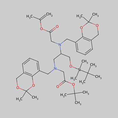 C=C(C)OC(=O)CN(Cc1cccc2c1OC(C)(C)OC2)C(CO[Si](C)(C)C(C)(C)C)CN(CC(=O)OC(C)(C)C)Cc1cccc2c1OC(C)(C)OC2